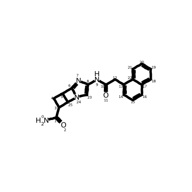 NC(=O)C1C[C]2c3nc(NC(=O)Cc4cccc5ccccc45)cn3C21